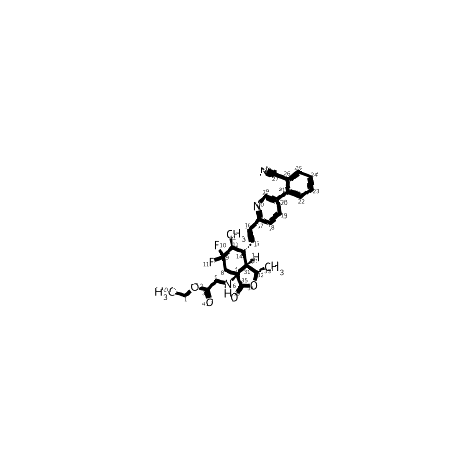 CCOC(=O)CN[C@@]12CC(F)(F)[C@@H](C)[C@H](/C=C/c3ccc(-c4ccccc4C#N)cn3)[C@@H]1[C@@H](C)OC2=O